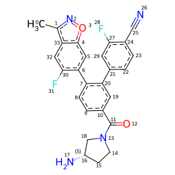 Cc1noc2cc(-c3ccc(C(=O)N4CC[C@H](N)C4)cc3-c3ccc(C#N)c(F)c3)c(F)cc12